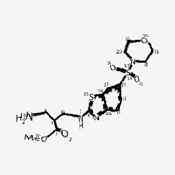 COC(=O)C(CN)CNc1nc2ccc(S(=O)(=O)N3CCOCC3)cc2s1